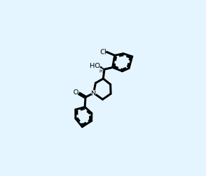 O=C(c1ccccc1)N1CCCC([C@@H](O)c2ccccc2Cl)C1